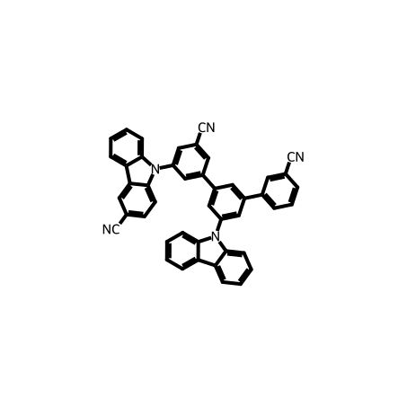 N#Cc1cccc(-c2cc(-c3cc(C#N)cc(-n4c5ccccc5c5cc(C#N)ccc54)c3)cc(-n3c4ccccc4c4ccccc43)c2)c1